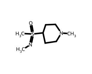 CN=S(C)(=O)C1CCN(C)CC1